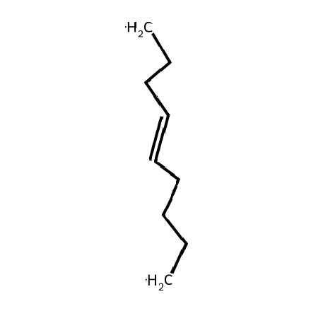 [CH2]CCC=CCCC[CH2]